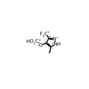 Cc1[nH]nc(C(F)(F)F)c1OC(=O)O